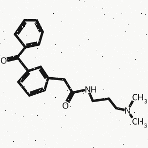 CN(C)CCCNC(=O)Cc1cccc(C(=O)c2ccccc2)c1